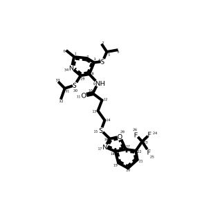 Cc1cc(SC(C)C)c(NC(=O)CCCSc2nc3cccc(C(F)(F)F)c3o2)c(SC(C)C)n1